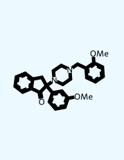 COc1cccc(C2(N3CCN(Cc4ccccc4OC)CC3)Cc3ccccc3C2=O)c1